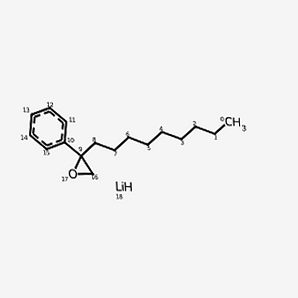 CCCCCCCCCC1(c2ccccc2)CO1.[LiH]